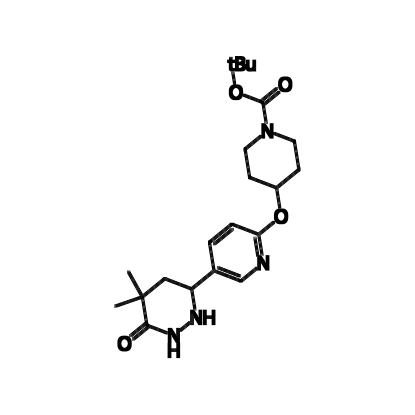 CC(C)(C)OC(=O)N1CCC(Oc2ccc(C3CC(C)(C)C(=O)NN3)cn2)CC1